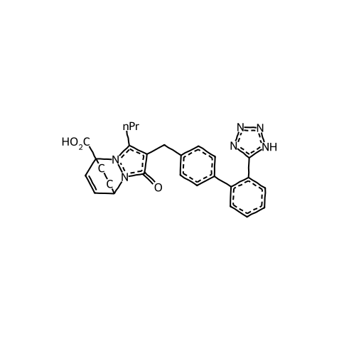 CCCc1c(Cc2ccc(-c3ccccc3-c3nnn[nH]3)cc2)c(=O)n2n1C1(C(=O)O)C=CC2CC1